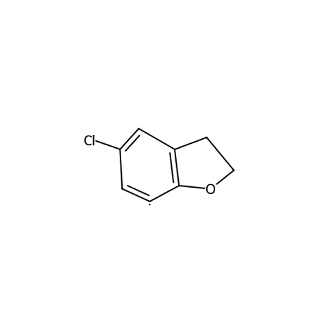 Clc1c[c]c2c(c1)CCO2